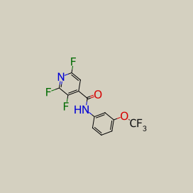 O=C(Nc1cccc(OC(F)(F)F)c1)c1cc(F)nc(F)c1F